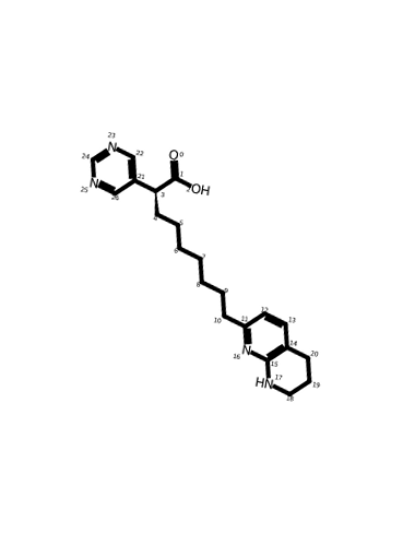 O=C(O)[C@@H](CCCCCCCc1ccc2c(n1)NCCC2)c1cncnc1